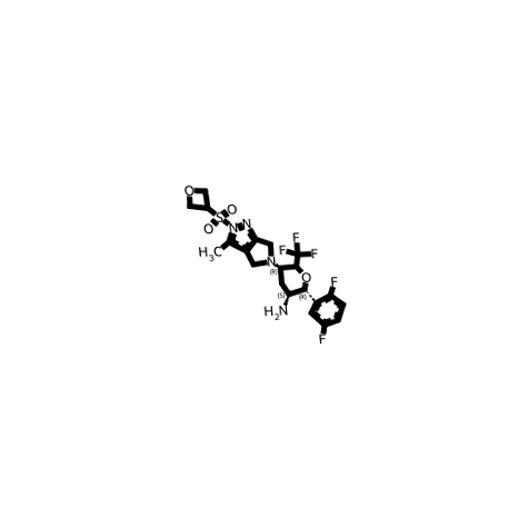 Cc1c2c(nn1S(=O)(=O)C1COC1)CN([C@@H]1C[C@H](N)[C@@H](c3cc(F)ccc3F)OC1C(F)(F)F)C2